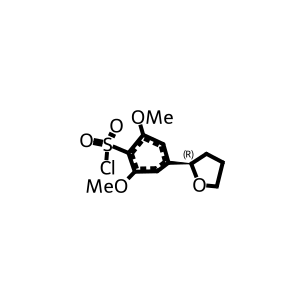 COc1cc([C@H]2CCCO2)cc(OC)c1S(=O)(=O)Cl